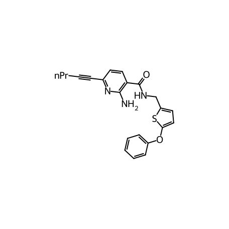 CCCC#Cc1ccc(C(=O)NCc2ccc(Oc3ccccc3)s2)c(N)n1